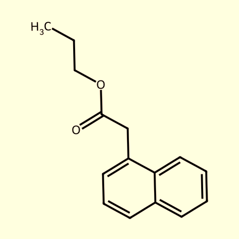 CCCOC(=O)Cc1cccc2ccccc12